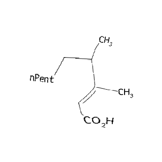 CCCCCCC(C)C(C)=CC(=O)O